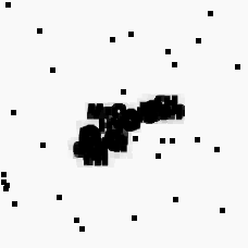 COc1cc(N2CC[PH](C)(O)CC2)ccc1Nc1cc(Nc2ccccc2S(=O)(=O)C(C)C)cnn1